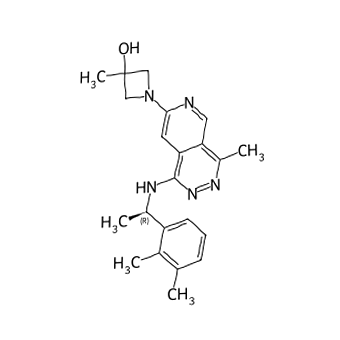 Cc1cccc([C@@H](C)Nc2nnc(C)c3cnc(N4CC(C)(O)C4)cc23)c1C